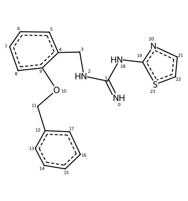 N=C(NCc1ccccc1OCc1ccccc1)Nc1nccs1